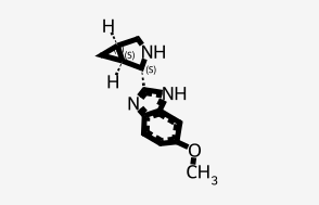 COc1ccc2nc([C@H]3NC[C@@H]4C[C@@H]43)[nH]c2c1